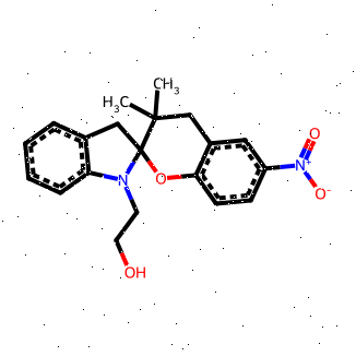 CC1(C)Cc2cc([N+](=O)[O-])ccc2OC12Cc1ccccc1N2CCO